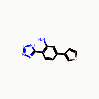 Nc1cc(-c2ccsc2)ccc1-c1nnn[nH]1